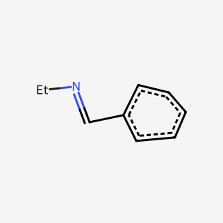 [CH2]CN=Cc1ccccc1